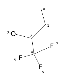 CCC([O])C(F)(F)F